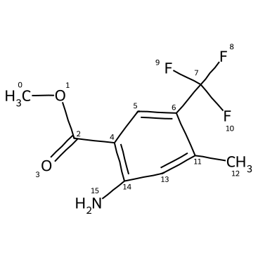 COC(=O)c1cc(C(F)(F)F)c(C)cc1N